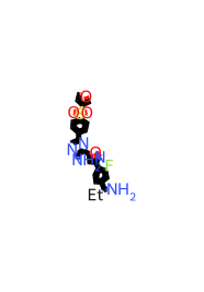 CCC(N)c1ccc(-c2cc(-c3nc(-c4ccc(S(=O)(=O)C5CCOC5)cc4)cnc3N)on2)c(F)c1